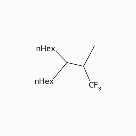 CCCCCCC(CCCCCC)C(C)C(F)(F)F